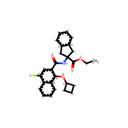 CCOC(=O)C1(NC(=O)c2cc(F)c3ccccc3c2OC2CCC2)Cc2ccccc2C1